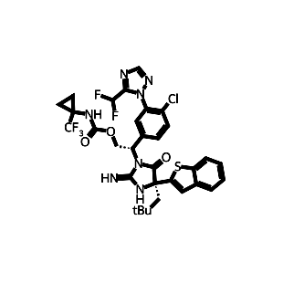 CC(C)(C)C[C@]1(c2cc3ccccc3s2)NC(=N)N([C@H](COC(=O)NC2(C(F)(F)F)CC2)c2ccc(Cl)c(-n3ncnc3C(F)F)c2)C1=O